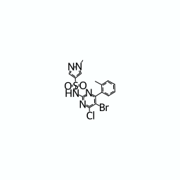 Cc1ccccc1-c1nc(NS(=O)(=O)c2cnn(C)c2)nc(Cl)c1Br